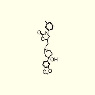 Cc1cccc(N2CC(CCN3CCC(O)(c4ccc5c(c4)OCO5)CC3)OC2=O)c1